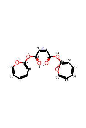 O=C(/C=C\C(=O)OC1=CC=CC=CO1)OC1=CC=CC=CO1